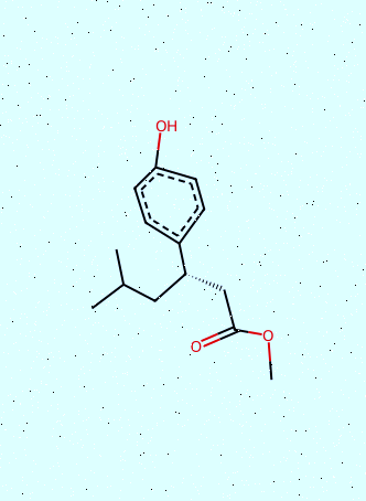 COC(=O)C[C@H](CC(C)C)c1ccc(O)cc1